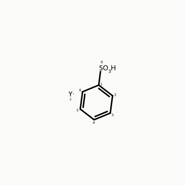 O=S(=O)(O)c1ccccc1.[Y]